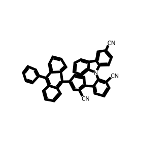 N#Cc1ccc2c(c1)c1ccccc1n2-c1c(C#N)cccc1-c1ccc(-c2c3ccccc3c(-c3ccccc3)c3ccccc23)cc1C#N